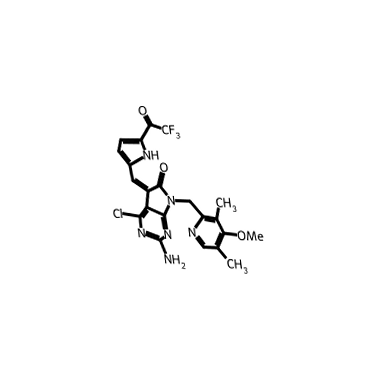 COc1c(C)cnc(CN2C(=O)/C(=C\c3ccc(C(=O)C(F)(F)F)[nH]3)c3c(Cl)nc(N)nc32)c1C